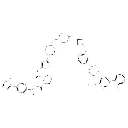 CC(C)[C@H](C(=O)N1CCC[C@H]1C(=O)N[C@@H](C)c1ccc(-c2ccnn2C)cc1)c1cc(N2CCC(CN3CCC(O[C@H]4C[C@H](Oc5cc(N6CCN(c7cc(-c8ccccc8O)nnc7N)CC6)ccn5)C4)CC3)CC2)no1